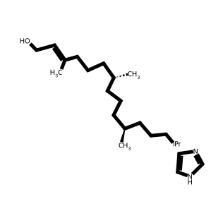 C/C(=C\CO)CCC[C@H](C)CCC[C@H](C)CCCC(C)C.c1c[nH]cn1